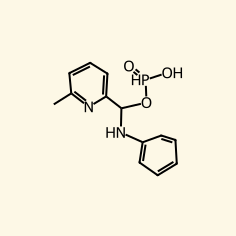 Cc1cccc(C(Nc2ccccc2)O[PH](=O)O)n1